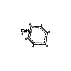 [CaH2].c1ccccc1